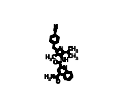 Cc1c(NC(=O)c2cc(C(N)=O)c3ccccc3n2)c(C(C)C)nn1Cc1ccc(C#N)cc1